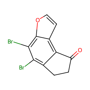 O=C1CCc2c(Br)c(Br)c3occc3c21